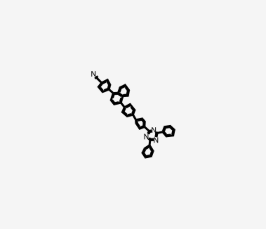 N#Cc1ccc(-c2ccc(-c3ccc(-c4ccc(-c5nc(-c6ccccc6)nc(-c6ccccc6)n5)cc4)cc3)c3ccccc23)cc1